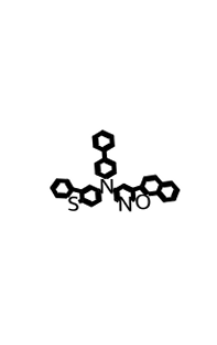 c1ccc(-c2ccc(N(c3cnc4oc5c6ccccc6ccc5c4c3)c3ccc4sc5ccccc5c4c3)cc2)cc1